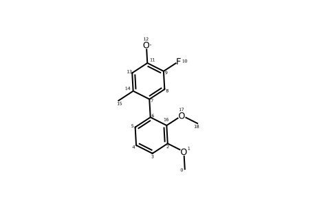 COc1cccc(-c2cc(F)c([O])cc2C)c1OC